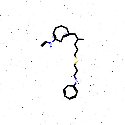 C=CN/C1=C/CCC/C(CC(C)CCCSCCCNC2=CC=CC=CC2)=C/C1